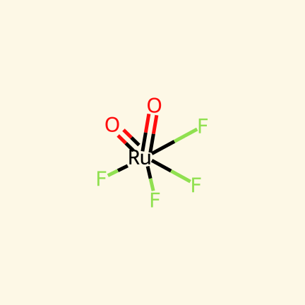 [O]=[Ru](=[O])([F])([F])([F])[F]